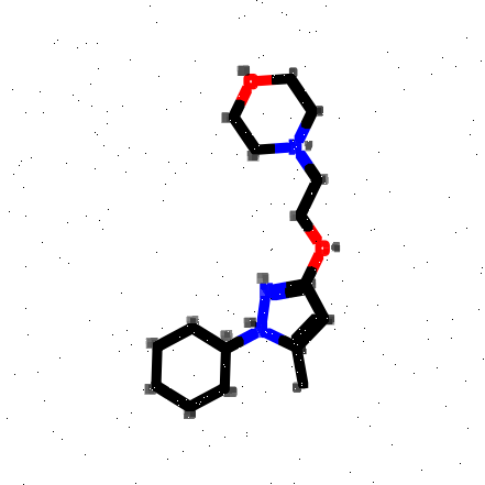 Cc1cc(OCCN2CCOCC2)nn1C1CCCCC1